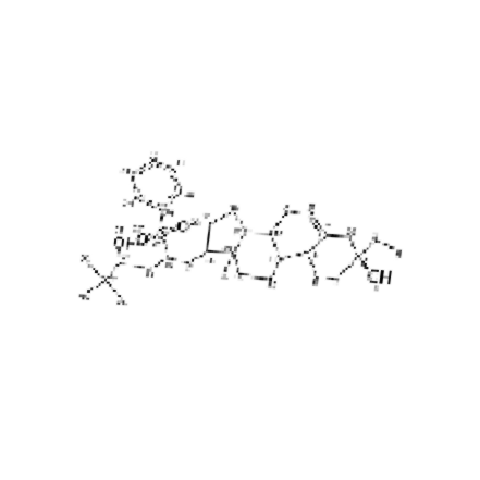 CC[C@]1(O)CCC2C(=CCC3C2CCC2(C)C(CC(CC(O)C(C)(C)C)S(=O)(=O)c4ccccc4)CCC32)C1